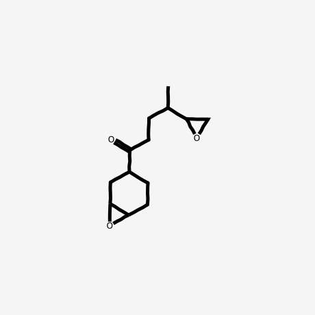 CC(CCC(=O)C1CCC2OC2C1)C1CO1